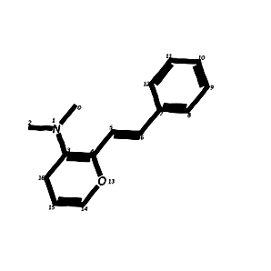 CN(C)C1=C(C=Cc2ccccc2)OC=CC1